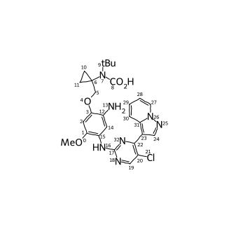 COc1cc(OCC2(N(C(=O)O)C(C)(C)C)CC2)c(N)cc1Nc1ncc(Cl)c(-c2cnn3ccccc23)n1